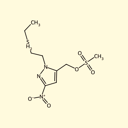 CC[SH2]CCn1nc([N+](=O)[O-])cc1COS(C)(=O)=O